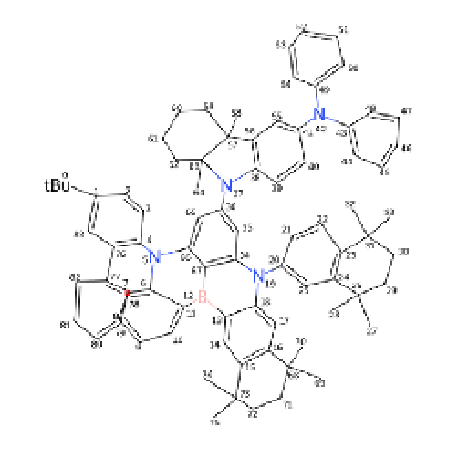 CC(C)(C)c1ccc(N2c3ccccc3B3c4cc5c(cc4N(c4ccc6c(c4)C(C)(C)CCC6(C)C)c4cc(N6c7ccc(N(c8ccccc8)c8ccccc8)cc7C7(C)CCCCC67C)cc2c43)C(C)(C)CCC5(C)C)c(-c2ccccc2)c1